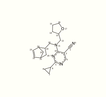 N#Cc1cnc(C2CC2)nc1N(CC1CCCO1)CC1CC2C=CC1C2